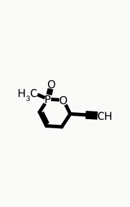 C#CC1CC=CP(C)(=O)O1